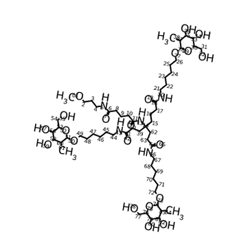 COCCCNC(=O)CCCC(=O)NC(CCCC(=O)NCCCCCCOC1OC(CO)C(O)C(O)C1C)(CCC(=O)NCCCCCCOC1OC(CO)C(O)C(O)C1C)CCC(=O)NCCCCCCOC1OC(CO)C(O)C(O)C1C